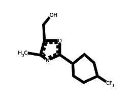 Cc1nc(C2CCC(C(F)(F)F)CC2)oc1CO